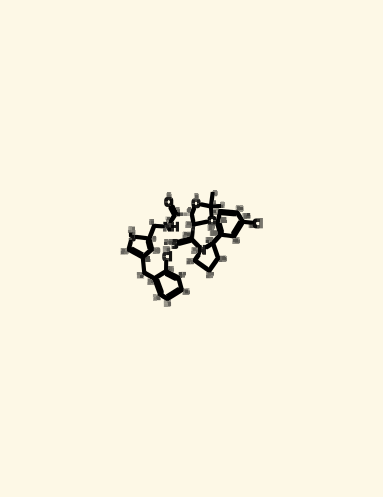 CC1(C)O[C@@H](C(=O)NCc2cc(Cc3ccccc3Cl)cs2)[C@H](C(=S)N2CCCC2c2cccc(Cl)c2)O1